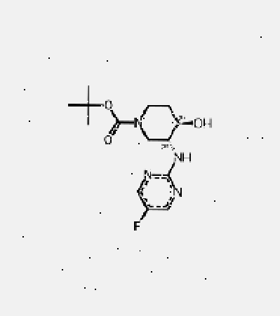 CC(C)(C)OC(=O)N1CC[C@@H](O)[C@H](Nc2ncc(F)cn2)C1